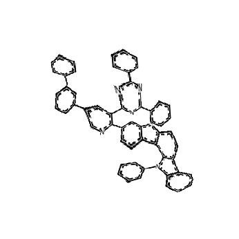 c1ccc(-c2cccc(-c3cnc(-c4ccc5c(c4)sc4ccc6c7ccccc7n(-c7ccccc7)c6c45)c(-c4nc(-c5ccccc5)nc(-c5ccccc5)n4)c3)c2)cc1